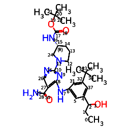 CCC(O)c1cc(Nc2nc(N3CCC[C@@H](NC(=O)OC(C)(C)C)C3)ncc2C(N)=O)cc(C(C)(C)C)c1